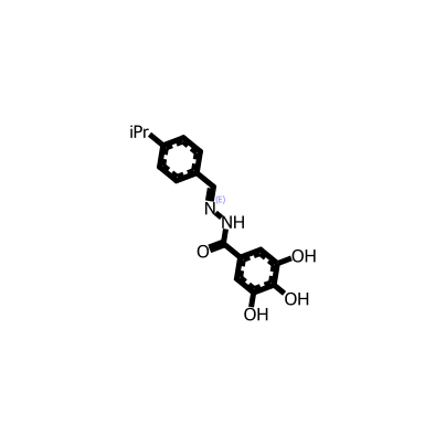 CC(C)c1ccc(/C=N/NC(=O)c2cc(O)c(O)c(O)c2)cc1